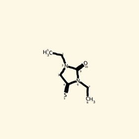 CCN1CC(=S)N(CC)C1=O